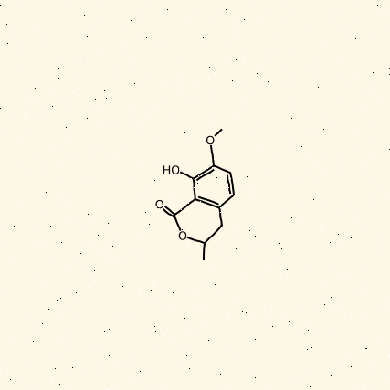 COc1ccc2c(c1O)C(=O)OC(C)C2